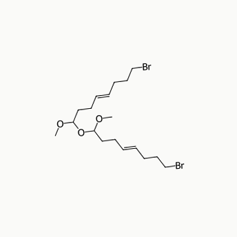 COC(CCC=CCCCBr)OC(CCC=CCCCBr)OC